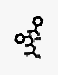 CC(C)OC(=O)[C@@H](O)[C@@H](NC(=O)c1ccccc1)c1ccccc1